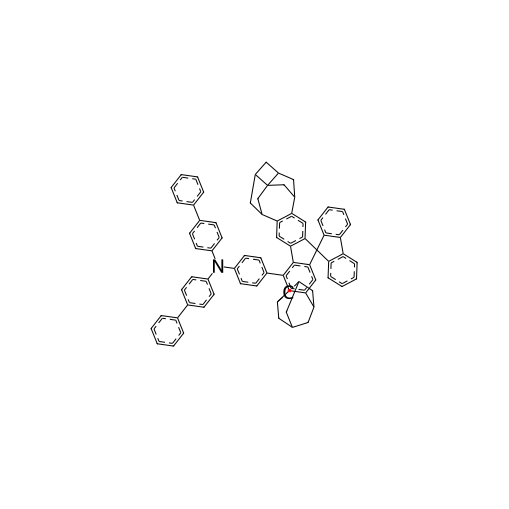 c1ccc(-c2ccc(N(c3ccc(-c4ccccc4)cc3)c3ccc(-c4c5c(cc6c4C4CC7CC(CC6C7)C4)C4(c6ccccc6-c6ccccc64)c4cc6c(cc4-5)C4CC5CC7CC6CC57C4)cc3)cc2)cc1